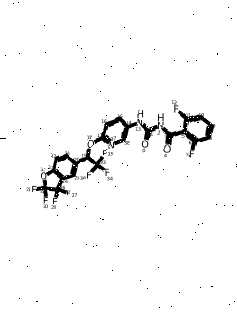 O=C(NC(=O)c1c(F)cccc1F)Nc1ccc(OC(c2ccc3c(c2)C(F)(F)C(F)(F)O3)C(F)(F)F)nc1